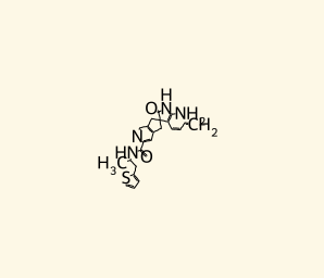 C=C/C=C\C1=C(N)NC(=O)C12Cc1cnc(C(=O)NC(C)Cc3cccs3)cc1C2